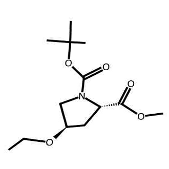 CCO[C@@H]1C[C@@H](C(=O)OC)N(C(=O)OC(C)(C)C)C1